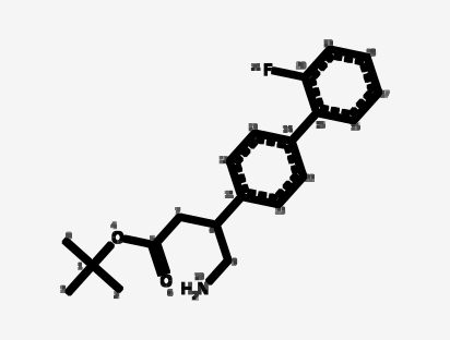 CC(C)(C)OC(=O)CC(CN)c1ccc(-c2ccccc2F)cc1